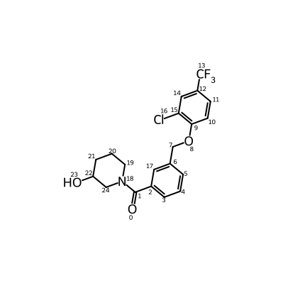 O=C(c1cccc(COc2ccc(C(F)(F)F)cc2Cl)c1)N1CCCC(O)C1